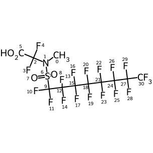 CN(C(F)(F)C(=O)O)S(=O)(=O)C(F)(F)C(F)(F)C(F)(F)C(F)(F)C(F)(F)C(F)(F)C(F)(F)C(F)(F)F